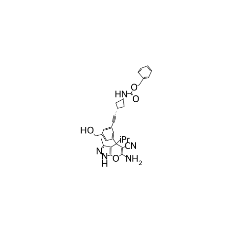 Cc1n[nH]c2c1C(c1cc(C#C[C@H]3C[C@@H](NC(=O)OCc4ccccc4)C3)cc(CO)c1)(C(C)C)C(C#N)=C(N)O2